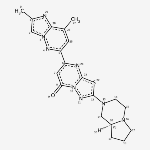 Cc1cn2nc(-c3cc(=O)n4nc(N5CCN6CCC[C@H]6C5)sc4n3)cc(C)c2n1